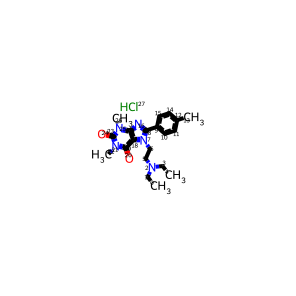 CCN(CC)CCn1c(-c2ccc(C)cc2)nc2c1c(=O)n(C)c(=O)n2C.Cl